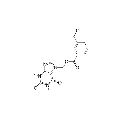 Cn1c(=O)c2c(ncn2COC(=O)c2cccc(CCl)c2)n(C)c1=O